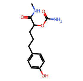 CNC(=O)C(CCCc1ccc(O)cc1)OC(N)=O